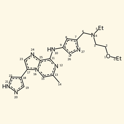 CCOCCN(CC)Cc1cc(Nc2nc(C)cn3c(-c4cn[nH]c4)cnc23)sn1